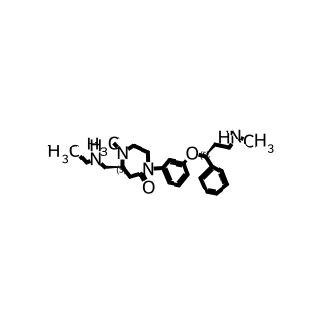 CCNC[C@@H]1CC(=O)N(c2cccc(O[C@@H](CCNC)c3ccccc3)c2)CCN1C